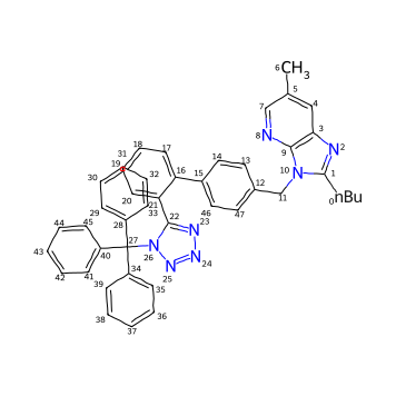 CCCCc1nc2cc(C)cnc2n1Cc1ccc(-c2ccccc2-c2nnnn2C(c2ccccc2)(c2ccccc2)c2ccccc2)cc1